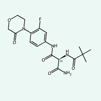 CC(C)(C)C(=O)N[C@@H](C(N)=O)C(=O)Nc1ccc(N2CCOCC2=O)c(F)c1